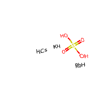 O=S(=O)(O)O.[CsH].[KH].[RbH]